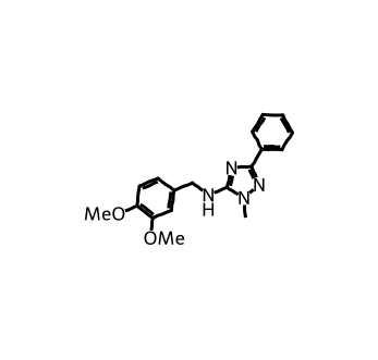 COc1ccc(CNc2nc(-c3ccccc3)nn2C)cc1OC